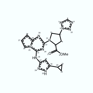 COC(=O)C1CC(n2ncnn2)CN1c1nc(Nc2cc(C3CC3)[nH]n2)n2cccc2n1